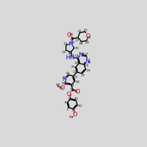 COc1ccc(OC(=O)c2cc(-c3ccc4ncnc(N[C@H]5CCN(C(=O)C6CCOCC6)C5)c4c3)cnc2OC)cc1